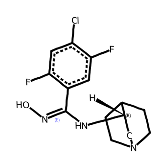 O/N=C(/N[C@H]1CN2CCC1CC2)c1cc(F)c(Cl)cc1F